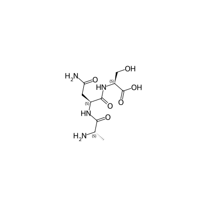 C[C@H](N)C(=O)N[C@@H](CC(N)=O)C(=O)N[C@@H](CO)C(=O)O